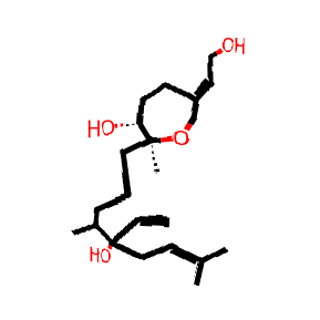 C=CC(O)(CC=C(C)C)C(C)CCC[C@]1(C)OC/C(=C/CO)CC[C@H]1O